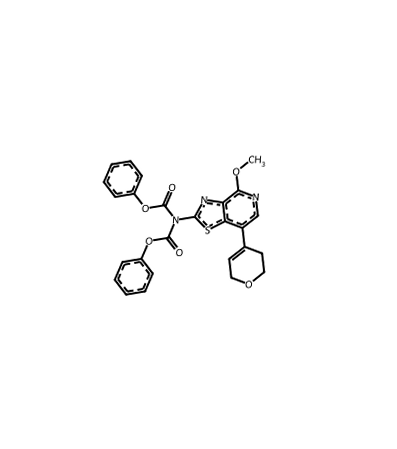 COc1ncc(C2=CCOCC2)c2sc(N(C(=O)Oc3ccccc3)C(=O)Oc3ccccc3)nc12